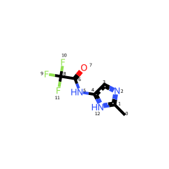 Cc1ncc(NC(=O)C(F)(F)F)[nH]1